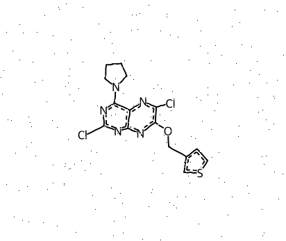 Clc1nc(N2CCCC2)c2nc(Cl)c(OCc3ccsc3)nc2n1